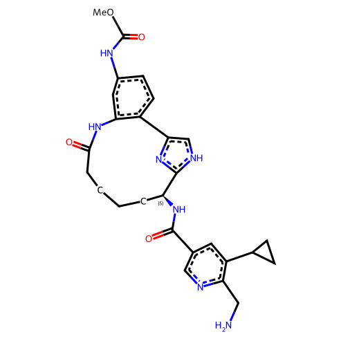 COC(=O)Nc1ccc2c(c1)NC(=O)CCCC[C@H](NC(=O)c1cnc(CN)c(C3CC3)c1)c1nc-2c[nH]1